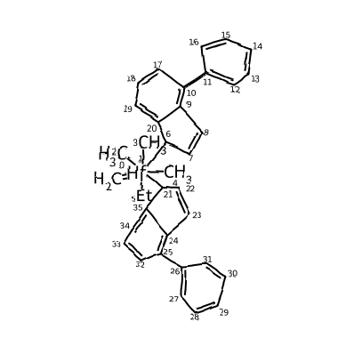 [CH2]=[Hf]([CH3])([CH3])([CH3])([CH2]C)([CH]1C=Cc2c(-c3ccccc3)cccc21)[CH]1C=Cc2c(-c3ccccc3)cccc21